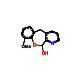 COc1cccc2c1OC(O)c1ncccc1C2